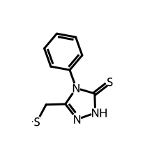 [S]Cc1n[nH]c(=S)n1-c1ccccc1